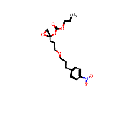 CCCOC(=O)OC1(CCCOCCCc2ccc([N+](=O)[O-])cc2)CO1